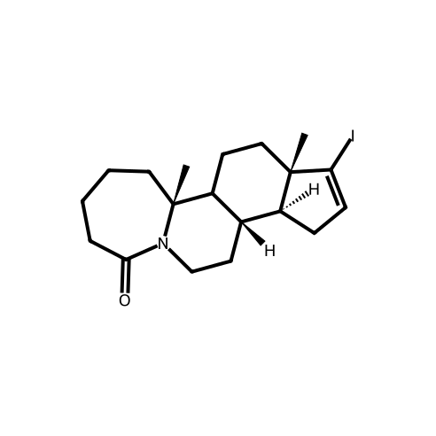 C[C@]12CCC3[C@@H](CCN4C(=O)CCCC[C@]34C)[C@@H]1CC=C2I